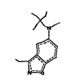 Cc1noc2ccc(N(C)C(C)(C)C)cc12